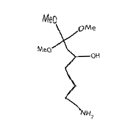 COC(OC)(OC)C(O)CCCN